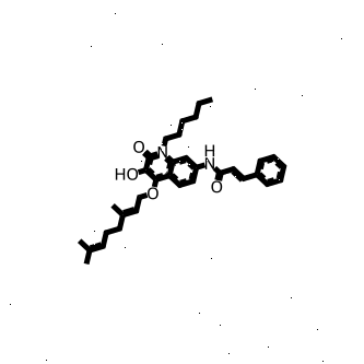 CCCCCCn1c(=O)c(O)c(OC/C=C(\C)CCC=C(C)C)c2ccc(NC(=O)C=Cc3ccccc3)cc21